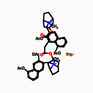 CC(=O)Oc1cc2c(OC(C)=O)cccc2cc1C[N+]1(C)C2CCC1CC(OC(=O)CCC(=O)OC1CC3CCC(C1)[N+]3(C)Cc1cc3cccc(OC(C)=O)c3cc1OC(C)=O)C2.[Br-].[Br-]